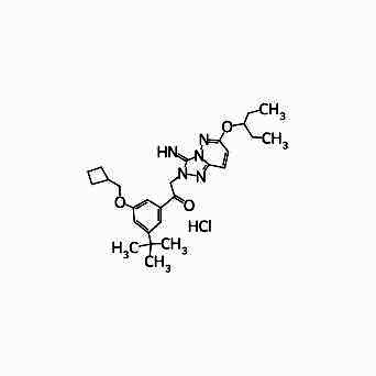 CCC(CC)Oc1ccc2nn(CC(=O)c3cc(OCC4CCC4)cc(C(C)(C)C)c3)c(=N)n2n1.Cl